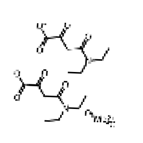 CCN(CC)C(=O)CC(=O)C(=O)[O-].CCN(CC)C(=O)CC(=O)C(=O)[O-].[O]=[Mo+2]=[O]